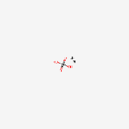 [LiH].[Ni].[O]=[Mn](=[O])([OH])[OH]